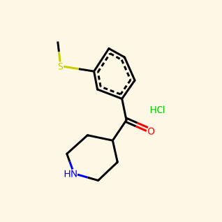 CSc1cccc(C(=O)C2CCNCC2)c1.Cl